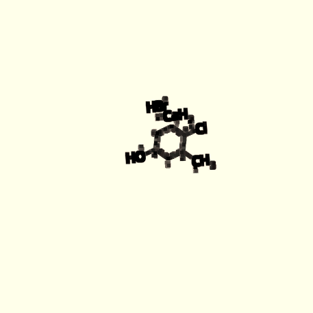 Br.Cc1cc(O)ccc1Cl.[CaH2]